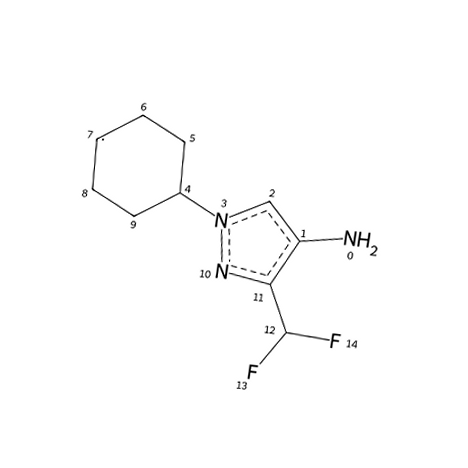 Nc1cn(C2CC[CH]CC2)nc1C(F)F